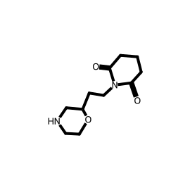 O=C1CCCC(=O)N1CCC1CNCCO1